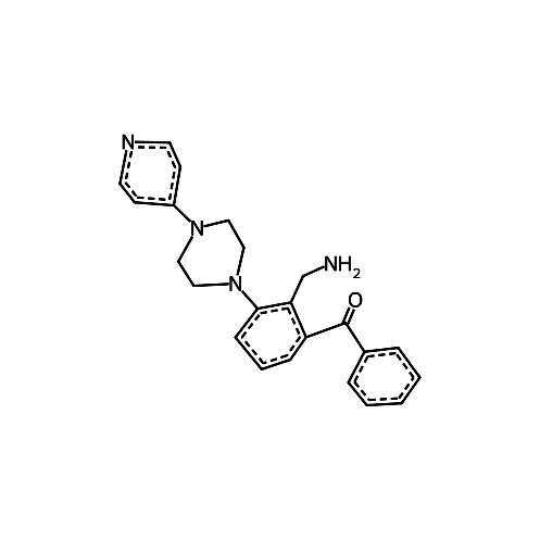 NCc1c(C(=O)c2ccccc2)cccc1N1CCN(c2ccncc2)CC1